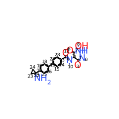 CNC(=O)C(C(=O)NO)N(C)C(=O)c1ccc(-c2ccc(C3(N)CC3)cc2)cc1